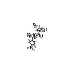 CN(C)c1ccc(C(=C=O)CNC(=O)c2cc(Br)c[nH]2)cc1